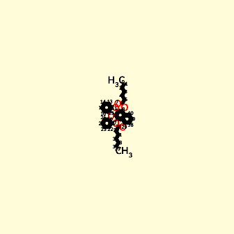 CCCCCCC(=O)Oc1c(Oc2ccccc2)c(Oc2ccccc2)c(OC(=O)CCCCCC)c2ccccc12